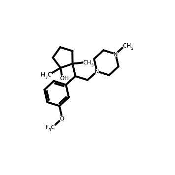 CN1CCN(CC(c2cccc(OC(F)(F)F)c2)C2(C)CCCC2(C)O)CC1